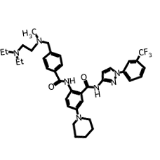 CCN(CC)CCN(C)Cc1ccc(C(=O)Nc2ccc(N3CCCCC3)cc2C(=O)Nc2ccn(-c3cccc(C(F)(F)F)c3)n2)cc1